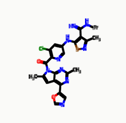 Cc1nc(-c2cnco2)c2cc(C)n(C(=O)c3ncc(Nc4snc(C)c4C(=N)NC(C)C)cc3Cl)c2n1